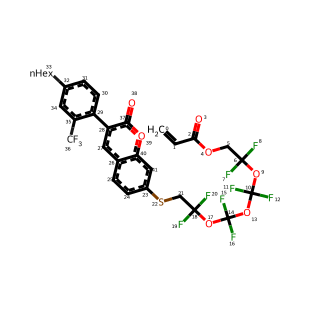 C=CC(=O)OCC(F)(F)OC(F)(F)OC(F)(F)OC(F)(F)CSc1ccc2cc(-c3ccc(CCCCCC)cc3C(F)(F)F)c(=O)oc2c1